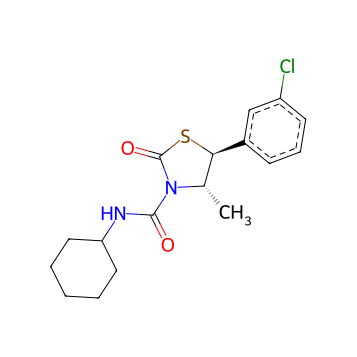 C[C@H]1[C@H](c2cccc(Cl)c2)SC(=O)N1C(=O)NC1CCCCC1